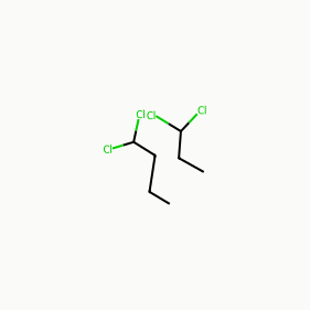 CCC(Cl)Cl.CCCC(Cl)Cl